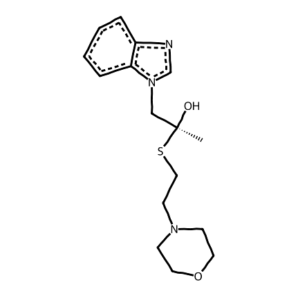 C[C@@](O)(Cn1cnc2ccccc21)SCCN1CCOCC1